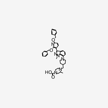 CC1CN(C(=O)O)CCN1CC1CCN(c2cccc3c(-c4ccc(OCc5ccccc5)nc4OCc4ccccc4)nn(C)c23)CC1